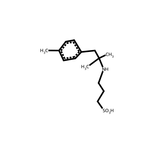 Cc1ccc(CC(C)(C)NCCCS(=O)(=O)O)cc1